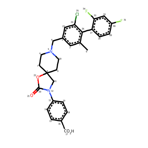 Cc1cc(CN2CCC3(CC2)CN(c2ccc(C(=O)O)cc2)C(=O)O3)cc(Cl)c1-c1ccc(F)cc1F